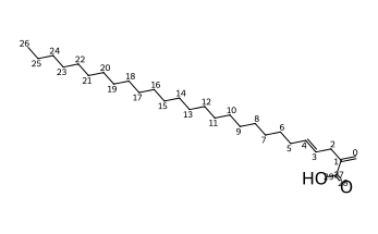 C=C(CC=CCCCCCCCCCCCCCCCCCCCCCC)C(=O)O